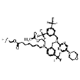 CCOC(=O)CCCCCCN(CCOC(C)=O)c1ccc(C(F)(F)F)cc1CN(Cc1cc(C(F)(F)F)cc(C(F)(F)F)c1)c1ncc(N2CCOCC2)cn1